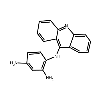 Nc1ccc(Nc2c3ccccc3nc3ccccc23)c(N)c1